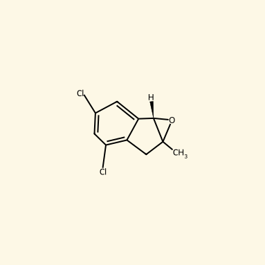 CC12Cc3c(Cl)cc(Cl)cc3[C@@H]1O2